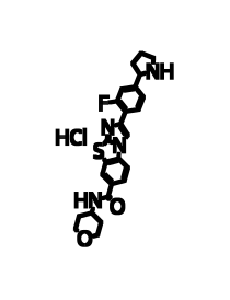 Cl.O=C(NC1CCOCC1)c1ccc2c(c1)sc1nc(-c3ccc(C4CCCN4)cc3F)cn12